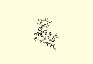 Cc1cc(F)c(NC(=O)Oc2ccccc2)cc1OC(F)F